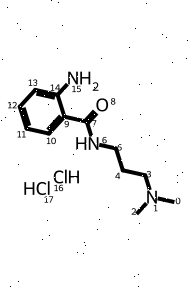 CN(C)CCCNC(=O)c1ccccc1N.Cl.Cl